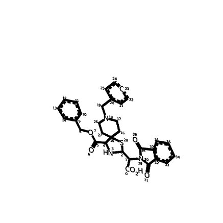 O=C(O)C(C1NC(C(=O)OCc2ccccc2)C2(CCN(Cc3ccccc3)CC2)S1)N1C(=O)c2ccccc2C1=O